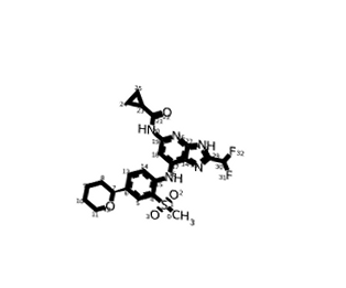 CS(=O)(=O)c1cc([C@@H]2CCCCO2)ccc1Nc1cc(NC(=O)C2CC2)nc2[nH]c(C(F)F)nc12